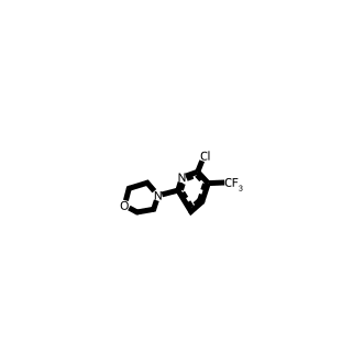 FC(F)(F)c1ccc(N2CCOCC2)nc1Cl